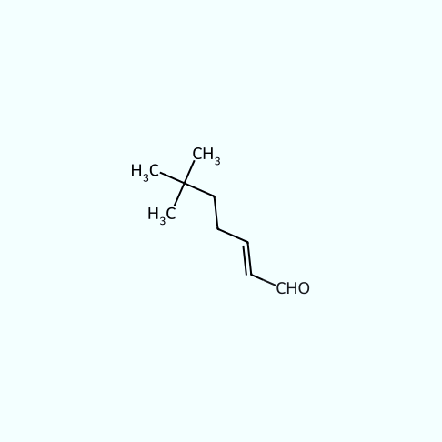 CC(C)(C)CC/C=C/C=O